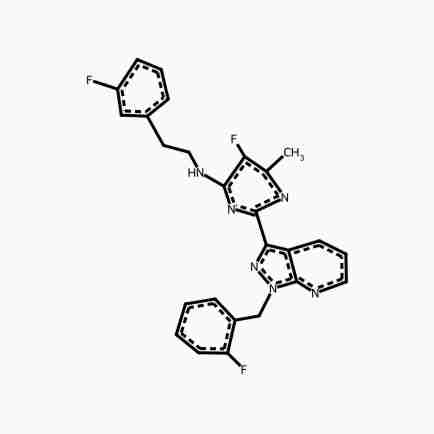 Cc1nc(-c2nn(Cc3ccccc3F)c3ncccc23)nc(NCCc2cccc(F)c2)c1F